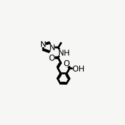 CC(NC(=O)C=Cc1ccccc1C(=O)O)n1ccnc1